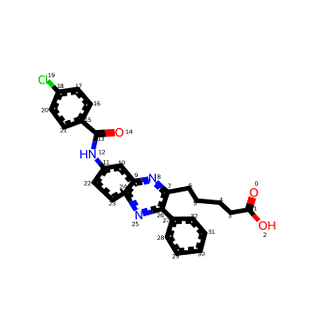 O=C(O)CCCCc1nc2cc(NC(=O)c3ccc(Cl)cc3)ccc2nc1-c1ccccc1